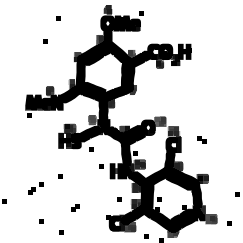 CNc1cc(OC)c(C(=O)O)cc1N(S)C(=O)Nc1c(Cl)cncc1Cl